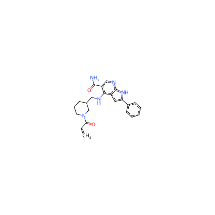 C=CC(=O)N1CCCC(CNc2c(C(N)=O)cnc3[nH]c(-c4ccccc4)cc23)C1